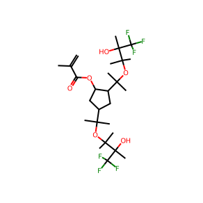 C=C(C)C(=O)OC1CC(C(C)(C)OC(C)(C)C(C)(O)C(F)(F)F)CC1C(C)(C)OC(C)(C)C(C)(O)C(F)(F)F